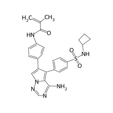 C=C(C)C(=O)Nc1ccc(-c2cn3ncnc(N)c3c2-c2ccc(S(=O)(=O)NC3CCC3)cc2)cc1